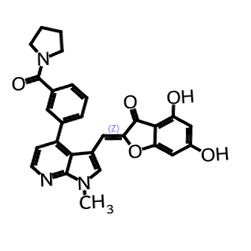 Cn1cc(/C=C2\Oc3cc(O)cc(O)c3C2=O)c2c(-c3cccc(C(=O)N4CCCC4)c3)ccnc21